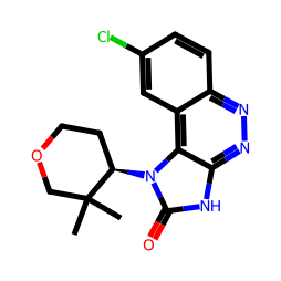 CC1(C)COCC[C@H]1n1c(=O)[nH]c2nnc3ccc(Cl)cc3c21